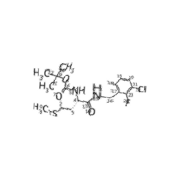 CSCC[C@H](NC(=O)OC(C)(C)C)C(=O)NCc1cccc(Cl)c1F